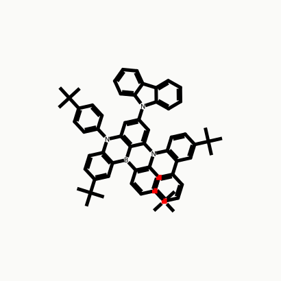 CC(C)(C)c1ccc(N2c3ccc(C(C)(C)C)cc3B3c4ccc([Si](C)(C)C)cc4N(c4ccc(C(C)(C)C)cc4-c4ccccc4)c4cc(-n5c6ccccc6c6ccccc65)cc2c43)cc1